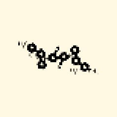 Cc1ccc(-c2ccc3c(c2)c2ccccc2n3-c2ccc(-c3ccc(-n4c5ccccc5c5cc(-c6ccc(C)cc6C)ccc54)cc3C#N)c(C#N)c2)c(C)c1